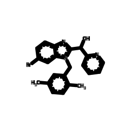 Cc1ccc(C)c(Cn2c(C(O)c3ccccn3)nc3ccc(Br)cc32)c1